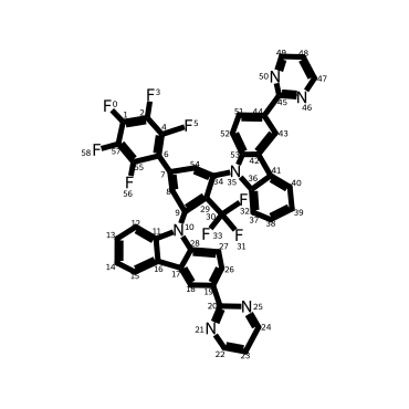 Fc1c(F)c(F)c(-c2cc(-n3c4ccccc4c4cc(-c5ncccn5)ccc43)c(C(F)(F)F)c(-n3c4ccccc4c4cc(-c5ncccn5)ccc43)c2)c(F)c1F